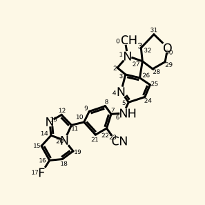 CN1Cc2nc(Nc3ccc(-c4cnc5cc(F)ccn45)cc3C#N)ccc2C12CCOCC2